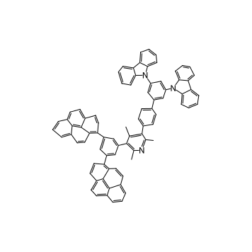 Cc1nc(C)c(-c2cc(-c3ccc4ccc5cccc6ccc3c4c56)cc(-c3ccc4ccc5cccc6ccc3c4c56)c2)c(C)c1-c1ccc(-c2cc(-n3c4ccccc4c4ccccc43)cc(-n3c4ccccc4c4ccccc43)c2)cc1